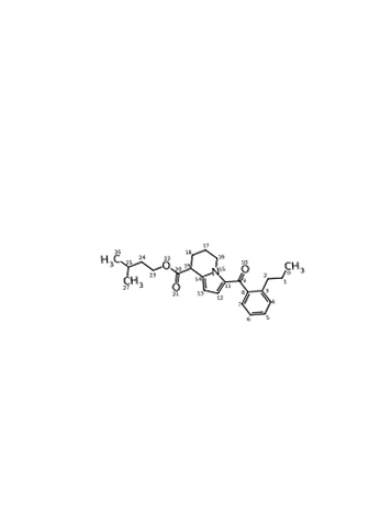 CCCc1ccccc1C(=O)c1ccc2n1CCCC2C(=O)OCCC(C)C